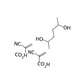 C=C(C#N)C(=O)O.C=C(C#N)C(=O)O.CC(O)CCC(C)O